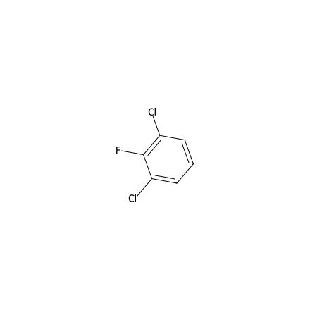 Fc1c(Cl)cccc1Cl